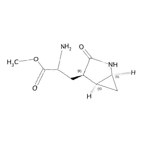 COC(=O)C(N)C[C@H]1C(=O)N[C@H]2C[C@H]21